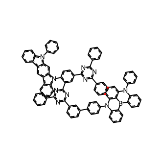 c1ccc(-c2nc(-c3ccccc3)nc(-c3ccc(-n4c5ccccc5c5cc6c7ccccc7n(-c7ccccc7)c6cc54)c(-c4nc(-c5ccccc5)nc(-c5cccc(-c6ccc(N7c8ccccc8B8c9ccccc9N(c9ccccc9)c9cccc7c98)cc6)c5)n4)c3)n2)cc1